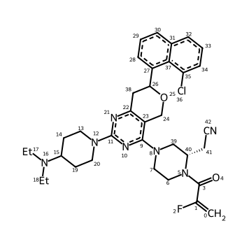 C=C(F)C(=O)N1CCN(c2nc(N3CCC(N(CC)CC)CC3)nc3c2COC(c2cccc4cccc(Cl)c24)C3)C[C@@H]1CC#N